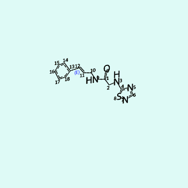 O=C(CNc1ncns1)NC/C=C/c1ccccc1